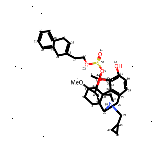 COC12CCC3(CC1C(C)(OS(=O)OCCC1=CCc4ccccc4C1)C(C)(C)C)C1Cc4ccc(O)c5c4C3(CCN1CC1CC1)C2O5